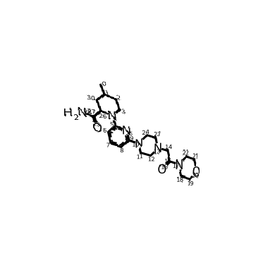 CC1CCN(c2[c]ccc(N3CCN(CC(=O)N4CCOCC4)CC3)n2)C(C(N)=O)C1